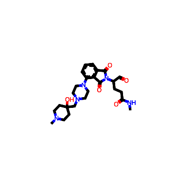 CNC(=O)CCC(C=O)N1C(=O)c2cccc(N3CCN(CC4(O)CCN(C)CC4)CC3)c2C1=O